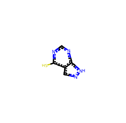 Sc1ncnc2[nH]ncc12